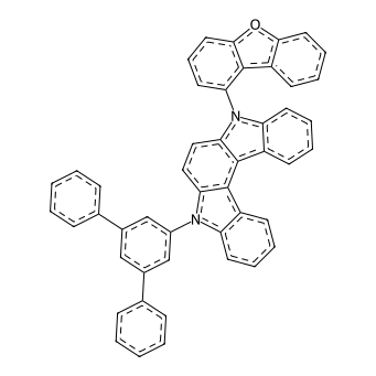 c1ccc(-c2cc(-c3ccccc3)cc(-n3c4ccccc4c4c5c6ccccc6n(-c6cccc7oc8ccccc8c67)c5ccc43)c2)cc1